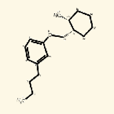 CCCCc1cccc(OC[C@H]2CCCC[C@H]2O)c1